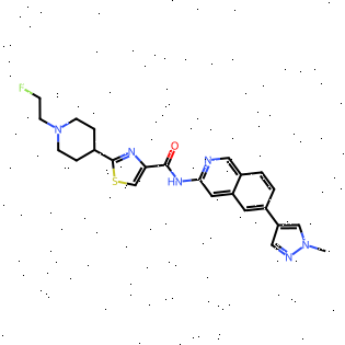 Cn1cc(-c2ccc3cnc(NC(=O)c4csc(C5CCN(CCF)CC5)n4)cc3c2)cn1